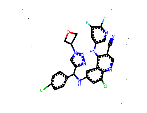 N#Cc1cnc2c(Cl)cc(NC(c3ccc(Cl)cc3)c3cn(C4COC4)nn3)cc2c1Nc1cnc(F)c(F)c1